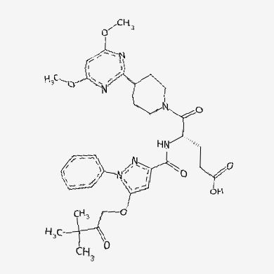 COc1cc(OC)nc(C2CCN(C(=O)[C@H](CCC(=O)O)NC(=O)c3cc(OCC(=O)C(C)(C)C)n(-c4ccccc4)n3)CC2)n1